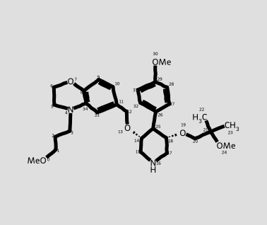 COCCCN1CCOc2ccc(CO[C@H]3CNC[C@@H](OCC(C)(C)OC)C3c3ccc(OC)cc3)cc21